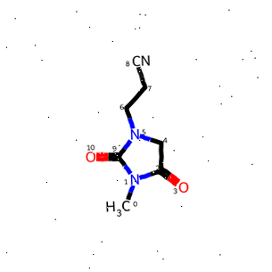 CN1C(=O)CN(CCC#N)C1=O